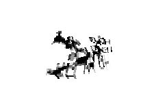 CNC(=O)[C@H]1O[C@@H](n2cnc3c(NCC(F)F)nc(-n4cc(C5CC5)nn4)nc32)[C@H](O)[C@@H]1O